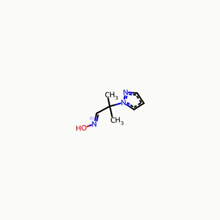 CC(C)(/C=N/O)n1cccn1